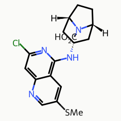 CSc1cnc2cc(Cl)nc(N[C@H]3C[C@H]4CC[C@@H](C3)N4C(=O)O)c2c1